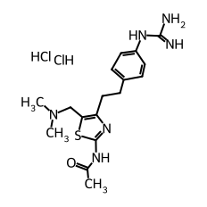 CC(=O)Nc1nc(CCc2ccc(NC(=N)N)cc2)c(CN(C)C)s1.Cl.Cl